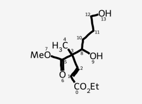 CCOC(=O)C=CC(C)(C(=O)OC)C(O)CCCO